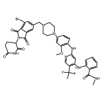 CNC(=O)c1ccccc1Nc1cc(Nc2ccc(N3CCN(Cc4cc(Br)c5c(c4)C(=O)N(C4CCC(=O)NC4=O)C5=O)CC3)cc2OC)ncc1C(F)(F)F